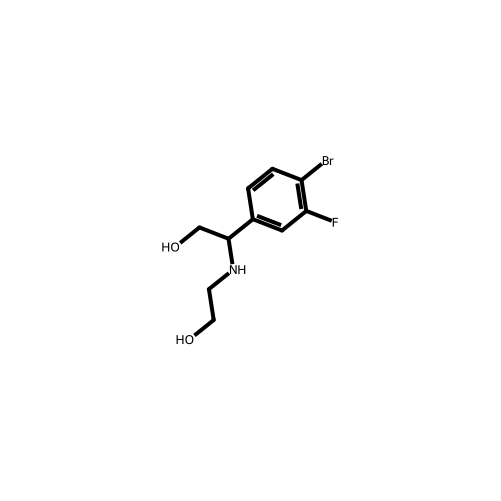 OCCNC(CO)c1ccc(Br)c(F)c1